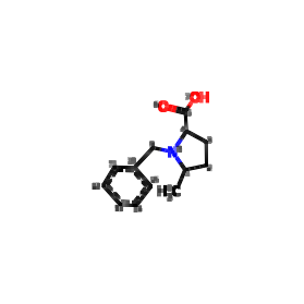 CC1CCC(C(=O)O)N1Cc1ccccc1